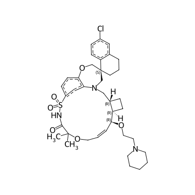 CC1(C)OCC=C[C@H](OCCN2CCCCC2)[C@@H]2CC[C@H]2CN2C[C@@]3(CCCc4cc(Cl)ccc43)COc3ccc(cc32)S(=O)(=O)NC1=O